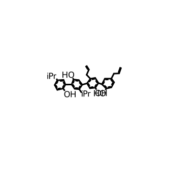 C=CCc1ccc(O)c(-c2cc(CC=C)c(-c3cc(O)c(-c4cc(C(C)C)ccc4O)cc3C(C)C)cc2O)c1